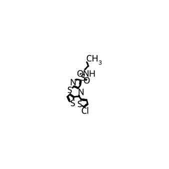 CCCCNS(=O)(=O)c1cnc2c(c1)N=C(c1ccc(Cl)s1)c1sccc1S2